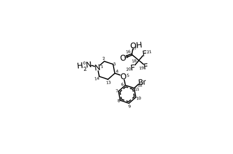 NN1CCC(Oc2ccccc2Br)CC1.O=C(O)C(F)(F)F